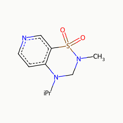 CC(C)N1CN(C)S(=O)(=O)c2cnccc21